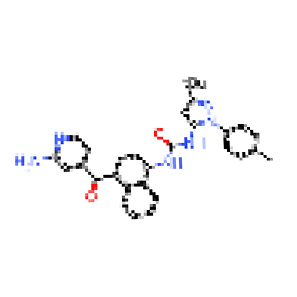 Cc1ccc(-n2nc(C(C)(C)C)cc2NC(=O)Nc2ccc(C(=O)c3ccnc(N)c3)c3ccccc23)cc1